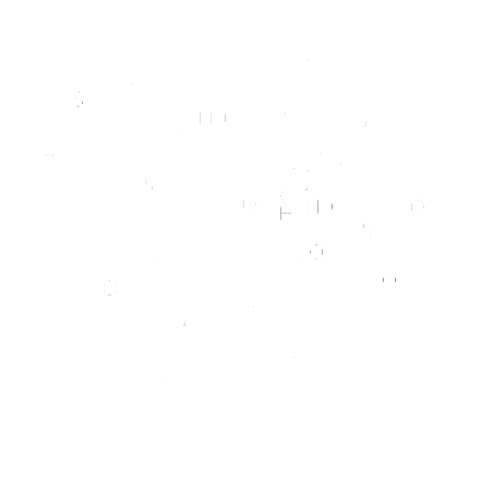 CC12CCC(C(S(=O)(=O)[O-])C1=O)C2(C)C.O=C(C[S+]1CCSCC1)C1CCCCC1